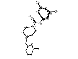 CN1CCCC(CN2CCN(C(=O)Nc3cc(Cl)cc(Cl)c3)CC2)C1